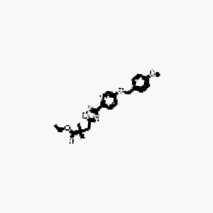 CCOC(=O)C(C)(C)Cc1nc(-c2ccc(OCc3ccc(OC)cc3)cn2)no1